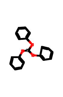 c1ccc([O][Ti]([O]c2ccccc2)[O]c2ccccc2)cc1